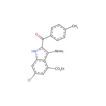 CCOC(=O)c1cc(Cl)cc2[nH]c(C(=O)c3ccc(C)cc3)c(NC(C)=O)c12